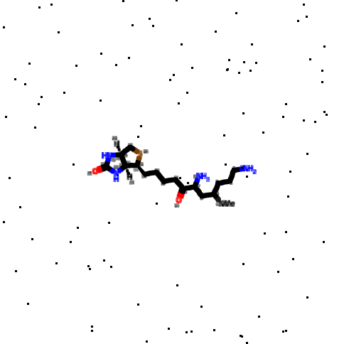 CNC(CCCN)CC(N)C(=O)CCCC[C@@H]1SC[C@@H]2NC(=O)N[C@@H]21